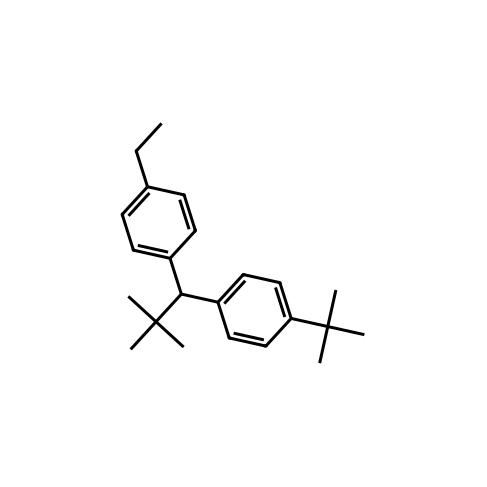 CCc1ccc(C(c2ccc(C(C)(C)C)cc2)C(C)(C)C)cc1